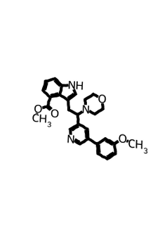 COC(=O)c1cccc2[nH]cc(CC(c3cncc(-c4cccc(OC)c4)c3)N3CCOCC3)c12